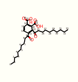 CCCCCCCCCC(=O)c1ccc(C(=O)O)c(C(=O)O)c1C(=O)CCCCCCCCC